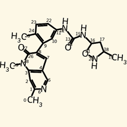 Cc1cc2c(cn1)cc(-c1cc(NC(=O)NC3CC(C)NO3)ccc1C)c(=O)n2C